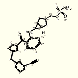 C#Cc1cccc(Cc2csc(C(=O)c3cncnc3NC3C4C[C@@H](COS(N)(=O)=O)C[C@H]43)c2)c1